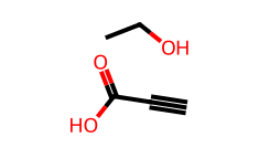 C#CC(=O)O.CCO